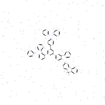 CC1(C)c2ccccc2-c2cc(-n3c4ccccc4c4cc(-c5cc(-c6ccc(N(c7ccccc7)c7ccccc7)cc6)cc(-c6cccc7c6c6ccccc6n7-c6ccccc6)c5)ccc43)ccc21